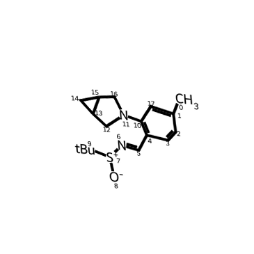 Cc1ccc(/C=N/[S+]([O-])C(C)(C)C)c(N2CC3CC3C2)c1